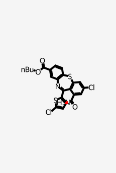 CCCCOC(=O)c1ccc2c(c1)N=C(c1ccc(Cl)s1)c1c(cc(Cl)cc1C(N)=O)S2